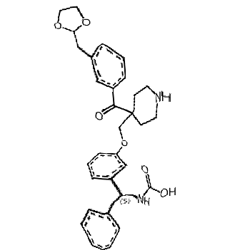 O=C(O)N[C@@H](c1ccccc1)c1cccc(OCC2(C(=O)c3cccc(CC4OCCO4)c3)CCNCC2)c1